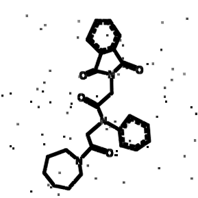 O=C(CN(C(=O)CN1C(=O)c2ccccc2C1=O)c1ccccc1)N1CCCCCC1